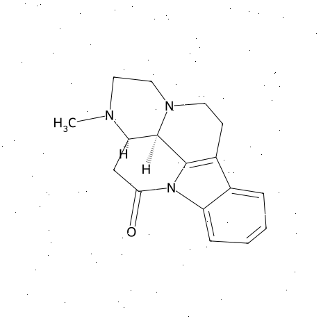 CN1CCN2CCc3c4n(c5ccccc35)C(=O)C[C@@H]1[C@H]42